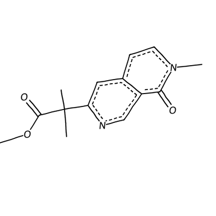 CCOC(=O)C(C)(C)c1cc2ccn(C)c(=O)c2cn1